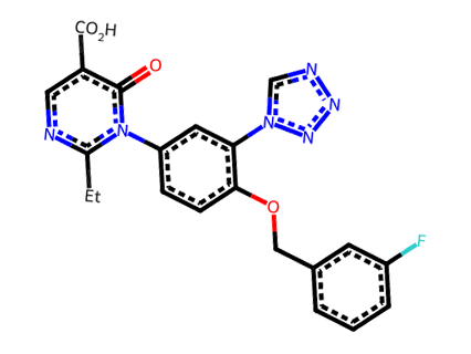 CCc1ncc(C(=O)O)c(=O)n1-c1ccc(OCc2cccc(F)c2)c(-n2cnnn2)c1